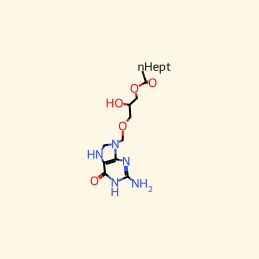 CCCCCCCC(=O)OCC(O)COCN1CNc2c1nc(N)[nH]c2=O